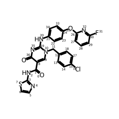 O=C(Nc1nccs1)c1cn(Cc2ccc(Cl)cc2)c(Nc2ccc(Oc3cccc(F)n3)cc2)nc1=O